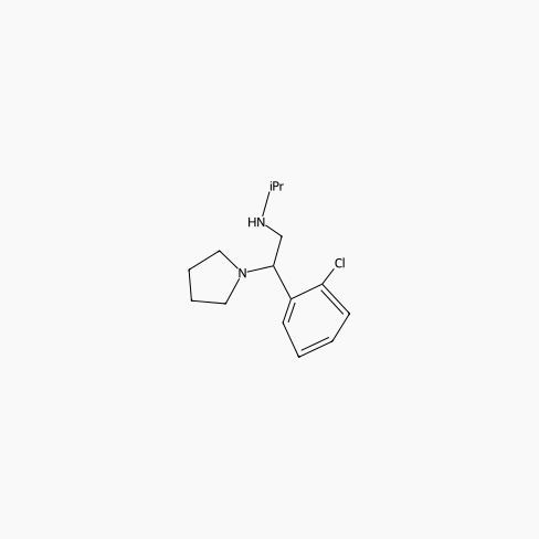 CC(C)NCC(c1ccccc1Cl)N1CCCC1